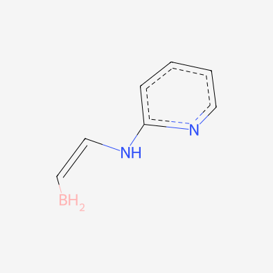 B/C=C\Nc1ccccn1